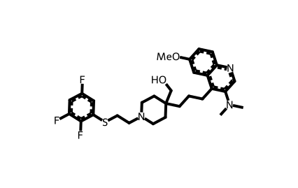 COc1ccc2ncc(N(C)C)c(CCCC3(CO)CCN(CCSc4cc(F)cc(F)c4F)CC3)c2c1